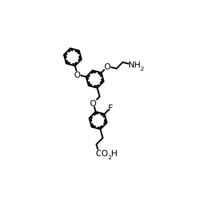 NCCOc1cc(COc2ccc(CCC(=O)O)cc2F)cc(Oc2ccccc2)c1